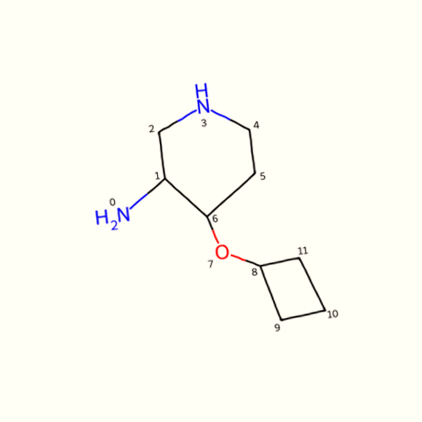 NC1CNCCC1OC1CCC1